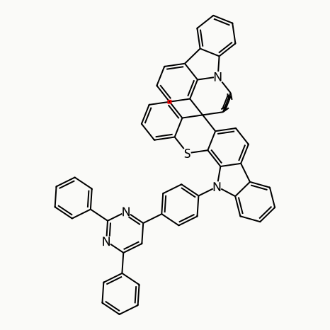 c1ccc(-c2cc(-c3ccc(-n4c5ccccc5c5ccc6c(c54)Sc4ccccc4C64c5ccccc5-n5c6ccccc6c6cccc4c65)cc3)nc(-c3ccccc3)n2)cc1